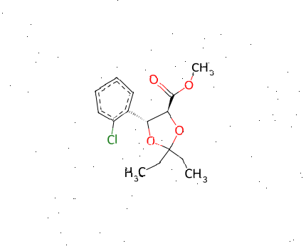 CCC1(CC)O[C@H](C(=O)OC)[C@@H](c2ccccc2Cl)O1